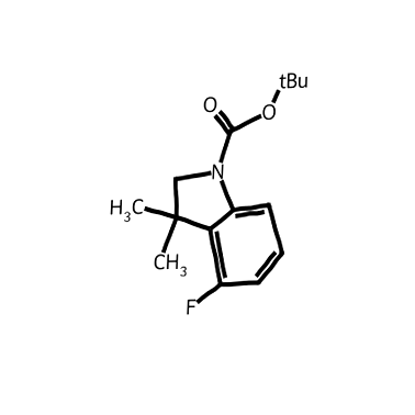 CC(C)(C)OC(=O)N1CC(C)(C)c2c(F)cccc21